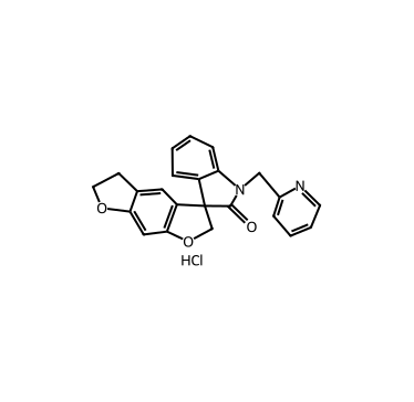 Cl.O=C1N(Cc2ccccn2)c2ccccc2C12COc1cc3c(cc12)CCO3